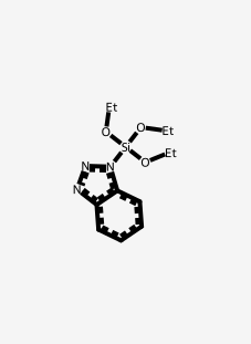 CCO[Si](OCC)(OCC)n1nnc2ccccc21